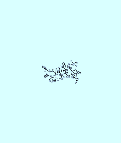 CONC(=O)[C@]12CCC(C)(C)C[C@H]1[C@H]1C(=O)C=C3[C@@]4(C)C=C(C#N)C(=O)C(C)(C)[C@@H]4CC[C@@]3(C)[C@]1(C)CC2